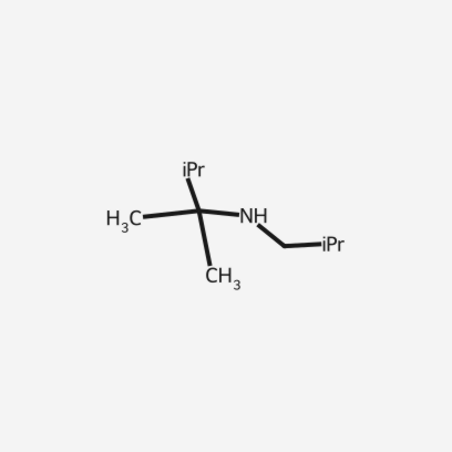 CC(C)CNC(C)(C)C(C)C